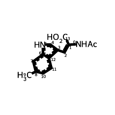 CC(=O)NC(=Cc1c[nH]c2cc(C)ccc12)C(=O)O